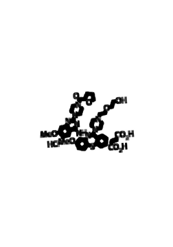 COc1cc2nc(N3CCN(C(=O)C4CCCO4)CC3)nc(N)c2cc1OC.Cl.O=C(O)/C=C/C(=O)O.OCCOCCN1CCN(C2=Nc3ccccc3Sc3ccccc32)CC1